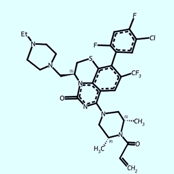 C=CC(=O)N1[C@H](C)CN(c2nc(=O)n3c4c(c(-c5cc(Cl)c(F)cc5F)c(C(F)(F)F)cc24)SC[C@@H]3CN2CCN(CC)CC2)C[C@@H]1C